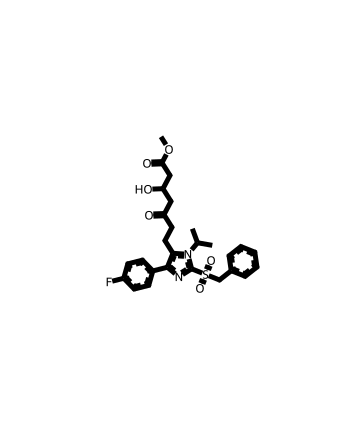 COC(=O)CC(O)CC(=O)CCc1c(-c2ccc(F)cc2)nc(S(=O)(=O)Cc2ccccc2)n1C(C)C